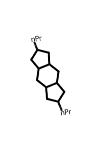 CCCC1CC2CC3CC(CCC)CC3CC2C1